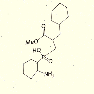 COC(=O)C(CC1CCCCC1)CP(=O)(O)C1CCCCC1N